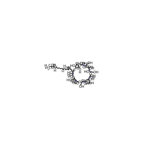 CC(C)(C)OC(=O)NCCCCCC(=O)NCc1cn(CCC2OC3OC(CO)C(OC(O)/C(O)=C(\O)C(CCO)OC(O)/C(O)=C(\O)C(CCO)OC(O)/C(O)=C(/O)C(CCO)OC(O)/C(O)=C(\O)C(CCO)OC(O)/C(O)=C(/O)C(CCO)OC(O)/C(O)=C\2O)C(O)C3O)nn1